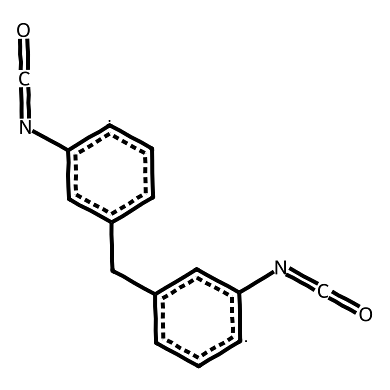 O=C=Nc1[c]ccc(Cc2cc[c]c(N=C=O)c2)c1